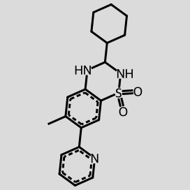 Cc1cc2c(cc1-c1ccccn1)S(=O)(=O)NC(C1CCCCC1)N2